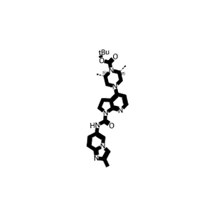 Cc1cn2cc(NC(=O)N3CCc4c(N5C[C@@H](C)N(C(=O)OC(C)(C)C)[C@@H](C)C5)ccnc43)ccc2n1